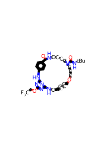 CC(C)(C)NC(=O)N1CCCCNC(=O)c2ccc(cc2)Nc2nc(nc(OCC(F)(F)F)n2)NCc2ccc(cc2)OCCC1